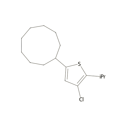 CC(C)c1sc(C2CCCCCCCC2)cc1Cl